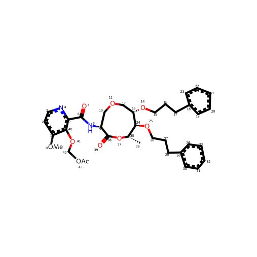 COc1ccnc(C(=O)N[C@H]2COC[C@H](OCCCc3ccccc3)[C@@H](OCCCc3ccccc3)[C@H](C)OC2=O)c1OCOC(C)=O